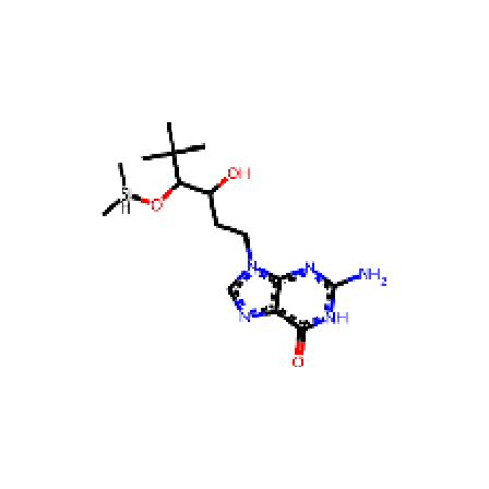 C[SiH](C)OC(C(O)CCn1cnc2c(=O)[nH]c(N)nc21)C(C)(C)C